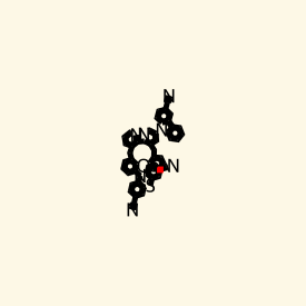 N#Cc1ccc2c(c1)Sc1cc(C#N)ccc1N2c1cccc2c1Oc1ccccc1Cc1cc(-n3c4ccccc4c4cc(C#N)ccc43)cnc1-c1ncccc1C2